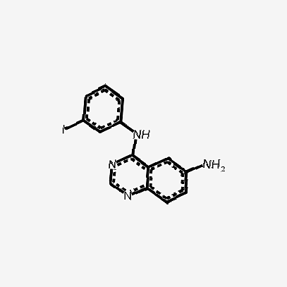 Nc1ccc2ncnc(Nc3cccc(I)c3)c2c1